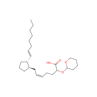 CCCCCC/C=C/[C@H]1CCC[C@@H]1C/C=C\CCC(OC1CCCCO1)C(=O)O